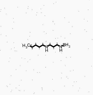 BNCCCNCCCCC